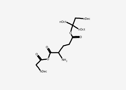 CCCCCCCCCCCC(=O)OC(=O)C(N)CCC(=O)OC(CCCCCCCC)(CCCCCCCC)CCCCCCCCCCC